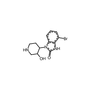 O=c1[nH]c2c(Br)cccc2n1C1CCNCC1O